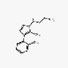 CCCNn1nnc(-c2ccccc2C)c1C